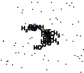 COC(=O)/C=C\C(=O)NCCCCCC(=O)N[C@H](C(=O)N[C@@H](C)C(=O)Nc1ccc(CO)cc1)C(C)C